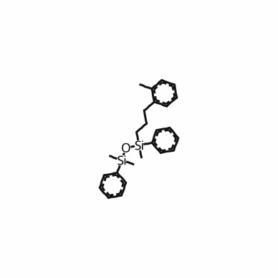 Cc1ccccc1CCC[Si](C)(O[Si](C)(C)c1ccccc1)c1ccccc1